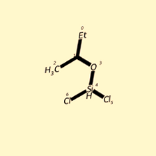 CCC(C)O[SiH](Cl)Cl